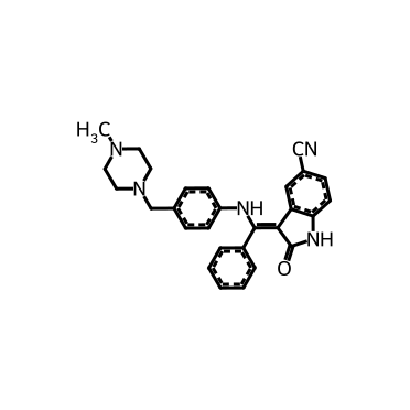 CN1CCN(Cc2ccc(NC(=C3C(=O)Nc4ccc(C#N)cc43)c3ccccc3)cc2)CC1